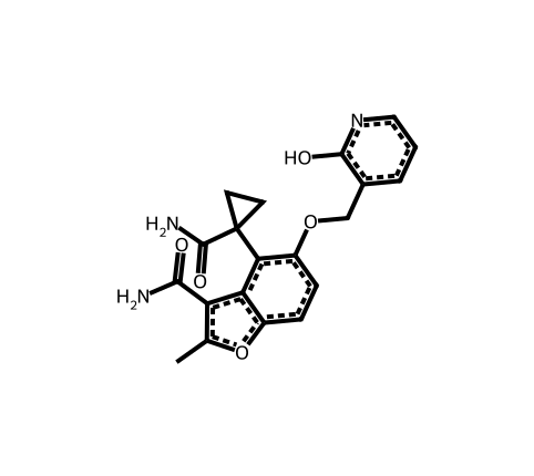 Cc1oc2ccc(OCc3cccnc3O)c(C3(C(N)=O)CC3)c2c1C(N)=O